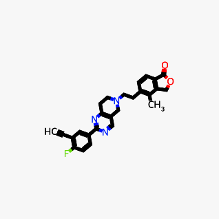 C#Cc1cc(-c2ncc3c(n2)CCN(CCc2ccc4c(c2C)COC4=O)C3)ccc1F